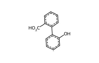 O=C(O)c1ccccc1-c1cc[c]cc1O